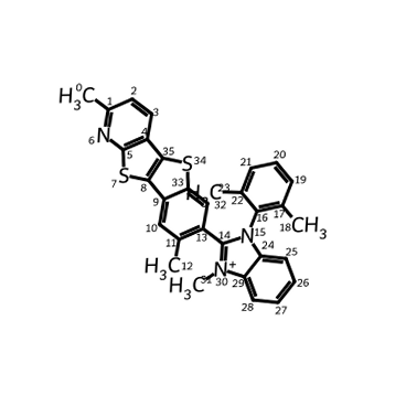 Cc1ccc2c(n1)sc1c3cc(C)c(-c4n(-c5c(C)cccc5C)c5ccccc5[n+]4C)cc3sc21